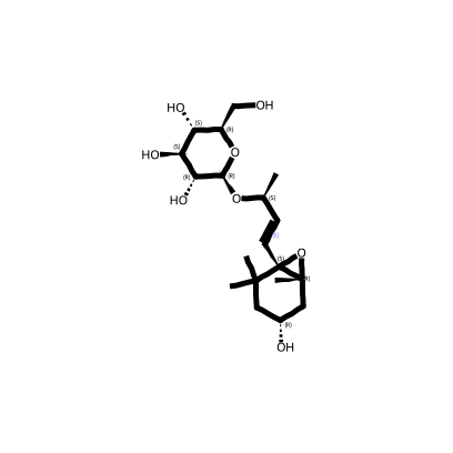 C[C@@H](/C=C/[C@@]12O[C@]1(C)C[C@H](O)CC2(C)C)O[C@@H]1O[C@H](CO)[C@@H](O)[C@H](O)[C@H]1O